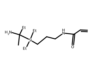 C=CC(=O)NCCC[Si](CC)(CC)C(C)(N)CC